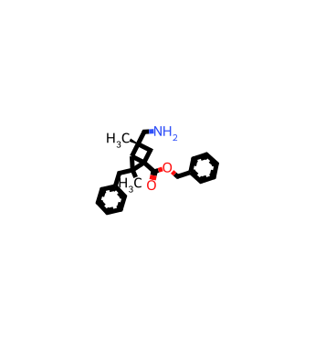 CC1(Cc2ccccc2)C2C1(C(=O)OCc1ccccc1)C[C@@]2(C)CN